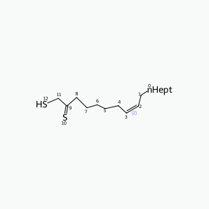 CCCCCCCC/C=C\CCCCCC(=S)CS